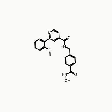 COc1ccccc1-c1cc(C(=O)NCc2ccc(C(=O)NO)cc2)ccn1